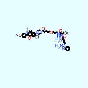 CCc1cc2c(cc1N1CCN(C(=O)CCCCOCCCNC(=O)[C@@H](NC(=O)[C@@H](N)CCCn3c(N)nc4ccccc43)C(C)(C)C)CC1)C(C)(C)c1[nH]c3cc(C#N)ccc3c1C2=O